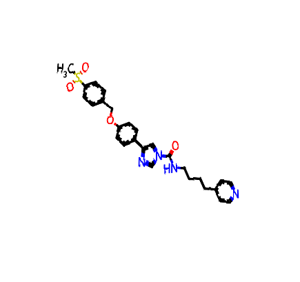 CS(=O)(=O)c1ccc(COc2ccc(-c3cn(C(=O)NCCCCc4ccncc4)cn3)cc2)cc1